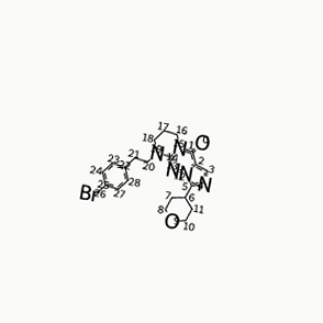 O=c1c2cnc(C3CCOCC3)n2nc2n1CCCN2CCc1ccc(Br)cc1